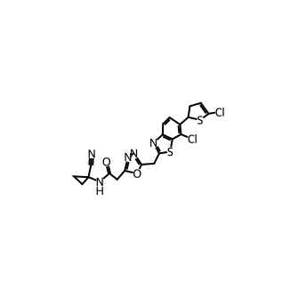 N#CC1(NC(=O)Cc2nnc(Cc3nc4ccc(C5CC=C(Cl)S5)c(Cl)c4s3)o2)CC1